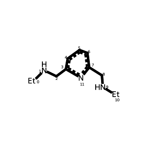 CCNCc1cccc(CNCC)n1